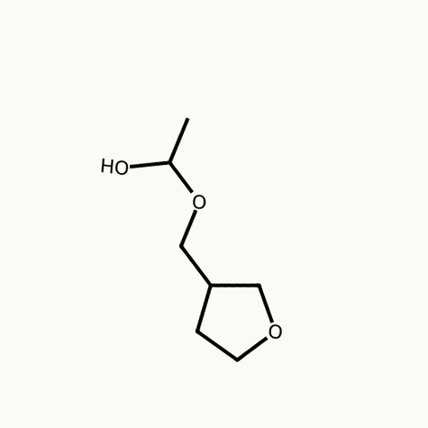 CC(O)OCC1CCOC1